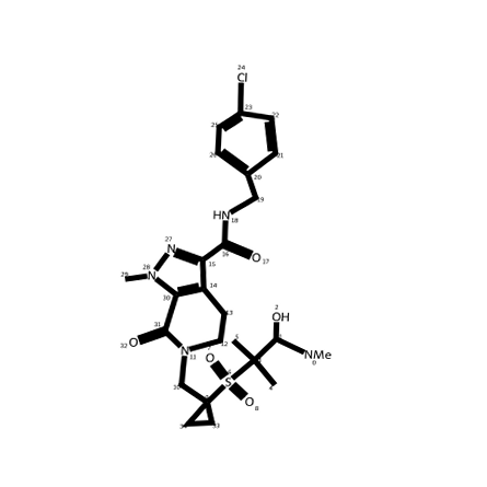 CNC(O)C(C)(C)S(=O)(=O)C1(CN2CCc3c(C(=O)NCc4ccc(Cl)cc4)nn(C)c3C2=O)CC1